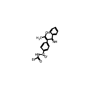 CCC(=O)N[S+]([O-])c1ccc(/C(C(=N)c2ccccc2)=C(\C)O)cc1